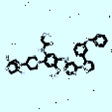 C=CC(=O)Nc1cc(Nc2cc(N3OCCC3c3cccc(Oc4ccccc4)c3)ncn2)c(OC)cc1N1CCC(N2C[C@@H]3C[C@H]2CO3)CC1